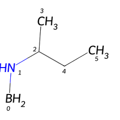 BNC(C)CC